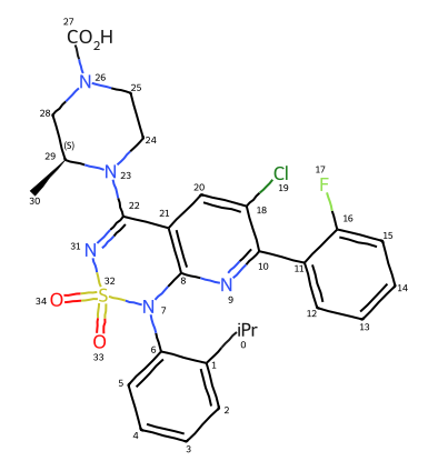 CC(C)c1ccccc1N1c2nc(-c3ccccc3F)c(Cl)cc2C(N2CCN(C(=O)O)C[C@@H]2C)=NS1(=O)=O